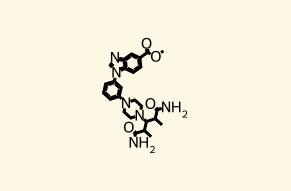 COC(=O)c1ccc2c(c1)ncn2-c1cccc(N2CCN(C(C(C)C(N)=O)C(C)C(N)=O)CC2)c1